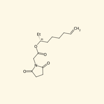 C=CCCCC[C@@H](CC)OC(=O)CN1C(=O)CCC1=O